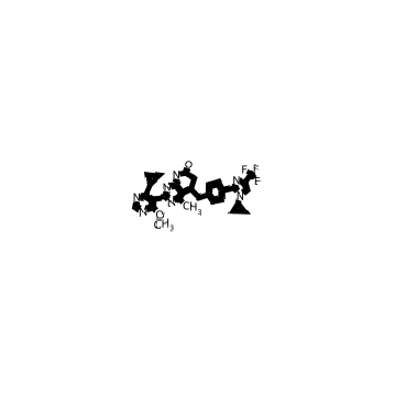 COc1ncnc(C2CC2)c1-c1nc(C)c2c(n1)=NC(=O)CC=2Cc1ccc(-c2nc(C(F)(F)F)cn2C2CC2)cc1